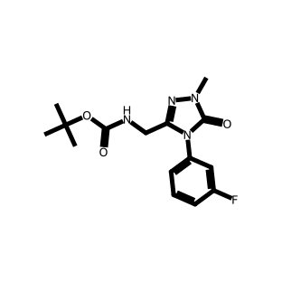 Cn1nc(CNC(=O)OC(C)(C)C)n(-c2cccc(F)c2)c1=O